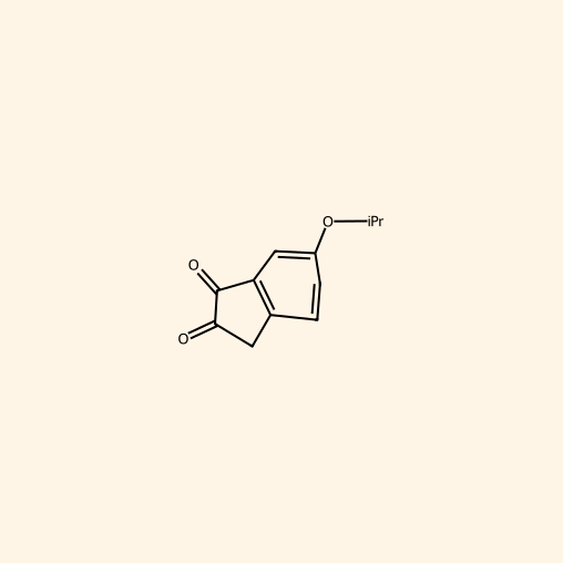 CC(C)Oc1ccc2c(c1)C(=O)C(=O)C2